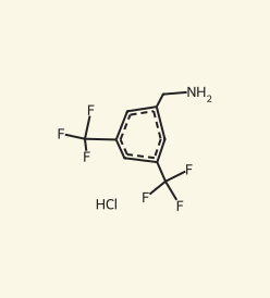 Cl.NCc1cc(C(F)(F)F)cc(C(F)(F)F)c1